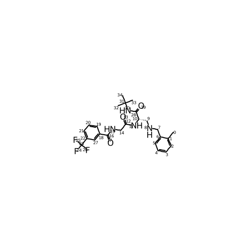 Cc1ccccc1CNC[C@H](NC(=O)CNC(=O)c1cccc(C(F)(F)F)c1)C(=O)NC(C)(C)C